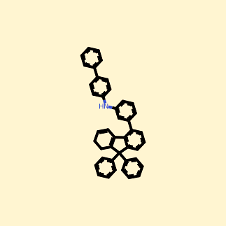 C1=CC2=C(CC1)C(c1ccccc1)(c1ccccc1)c1cccc(-c3cccc(Nc4ccc(-c5ccccc5)cc4)c3)c12